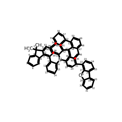 CC1(C)c2ccccc2-c2c(-c3ccccc3N(c3ccc(-c4cccc5c4oc4ccccc45)cc3)c3ccccc3-c3cccc4cccc(-c5ccccc5)c34)cccc21